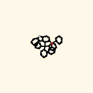 c1ccc(N(c2ccccc2)c2ccc3oc4ccccc4c3c2C2(c3ccccc3)c3ccccc3-c3ccccc32)cc1